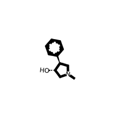 CN1C[C@H](c2ccccc2)[C@@H](O)C1